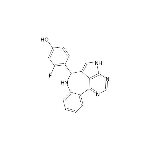 Oc1ccc(C2Nc3ccccc3-c3ncnc4[nH]cc2c34)c(F)c1